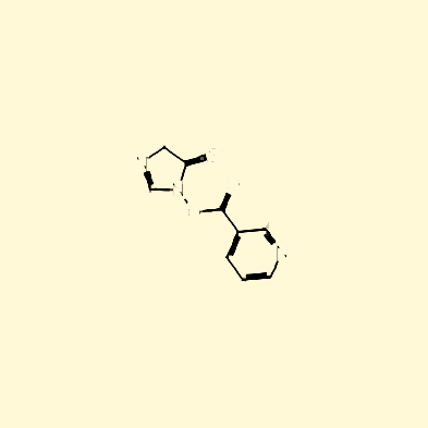 O=C(ON1C=NCC1=S)c1cccnc1